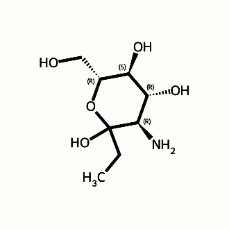 CCC1(O)O[C@H](CO)[C@@H](O)[C@H](O)[C@H]1N